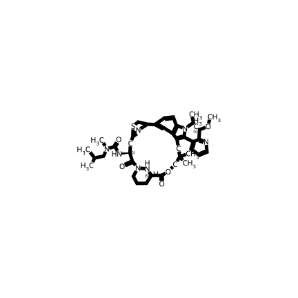 CCn1c(-c2cccnc2[C@H](C)OC)c2c3cc(ccc31)C1CSC(=N1)C[C@H](NC(=O)N(C)CC(C)C)C(=O)N1CCC[C@H](N1)C(=O)OCC(C)(C)C2